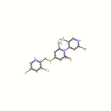 CC(=O)c1cc(-n2c(C)cc(SCc3ncc(F)cc3F)cc2=O)c(C)cn1